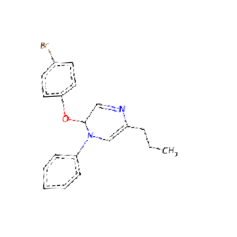 CCCC1=CN(c2ccccc2)C(Oc2ccc(Br)cc2)C=N1